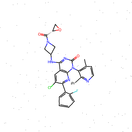 Cc1ccnc(C(C)C)c1-n1c(=O)nc(NC2CN(C(=O)[C@@H]3CO3)C2)c2cc(Cl)c(-c3ccccc3F)nc21